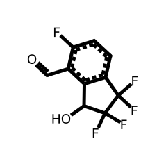 O=Cc1c(F)ccc2c1C(O)C(F)(F)C2(F)F